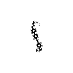 C=CCCc1ccc(-c2ccc(C#Cc3ccc(OCC)cc3)cc2)cc1